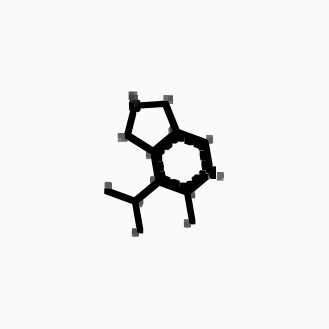 Cc1ncc2c(c1C(C)C)COC2